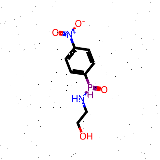 O=[N+]([O-])c1ccc([PH](=O)NCCO)cc1